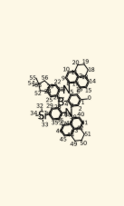 Cc1cc2c3c(c1)N(c1ccc4c5c(cccc15)CCC4)c1cc4c(cc1B3c1cc([Si](C)(C)C)ccc1N2c1ccc2c3c(cccc13)CCC2)CC(C)(C)C4